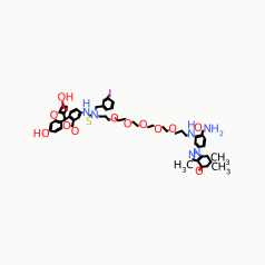 Cc1nn(-c2ccc(C(N)=O)c(NCCCOCCOCCOCCOCCOCCCN(Cc3cccc(I)c3)C(=S)Nc3ccc4c(c3)C(=O)OC43c4ccc(O)cc4Oc4cc(O)ccc43)c2)c2c1C(=O)CC(C)(C)C2